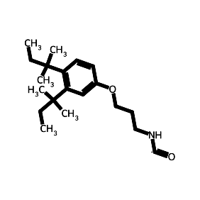 CCC(C)(C)c1ccc(OCCCN[C]=O)cc1C(C)(C)CC